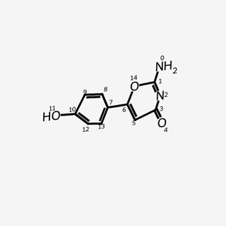 Nc1nc(=O)cc(-c2ccc(O)cc2)o1